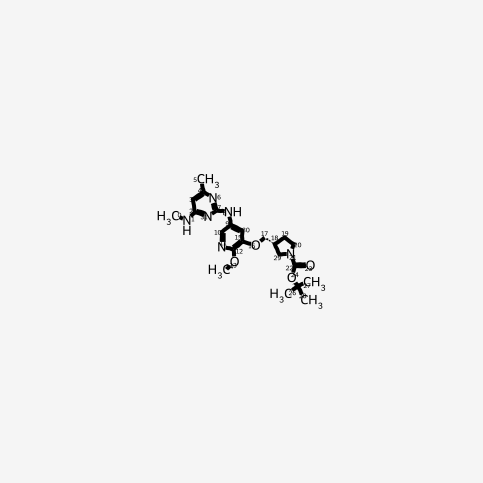 CNc1cc(C)nc(Nc2cnc(OC)c(OC[C@@H]3CCN(C(=O)OC(C)(C)C)C3)c2)n1